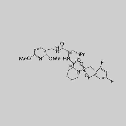 COc1ccc(CNC(=O)[C@H](CC(C)C)NC(=O)[C@@H]2CCCCN2S(=O)(=O)Cc2c(F)cc(F)cc2F)c(OC)n1